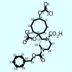 O=C(Cl)O[C@H]1CCC[C@](OC(=O)Cl)([C@H]2CN(C(=O)OCc3ccccc3)CCN2C(=O)O)CCC1